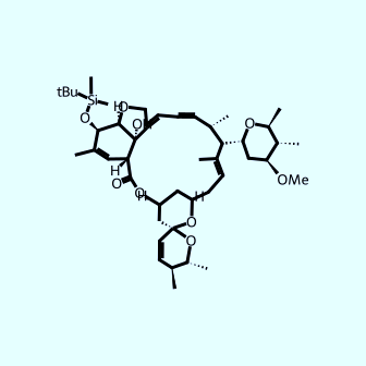 CO[C@H]1C[C@H](C2/C(C)=C/C[C@@H]3C[C@@H](C[C@]4(C=C[C@H](C)[C@@H](C)O4)O3)OC(=O)[C@@H]3C=C(C)[C@@H](O[Si](C)(C)C(C)(C)C)[C@H]4OC/C(=C\C=C\[C@@H]2C)[C@]43O)O[C@@H](C)[C@@H]1C